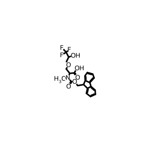 CN(C(=O)OCC1c2ccccc2-c2ccccc21)C(COCC(O)C(F)(F)F)C(=O)O